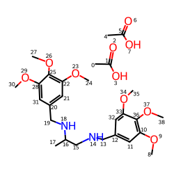 CC(=O)O.CC(=O)O.COc1cc(CNCC(C)NCc2cc(OC)c(OC)c(OC)c2)cc(OC)c1OC